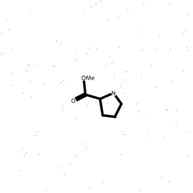 COC(=O)C1C[CH]C[N]1